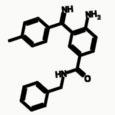 Cc1ccc(C(=N)c2cc(C(=O)NCc3ccccc3)ccc2N)cc1